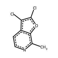 Cc1nccc2c(Cl)c(Cl)oc12